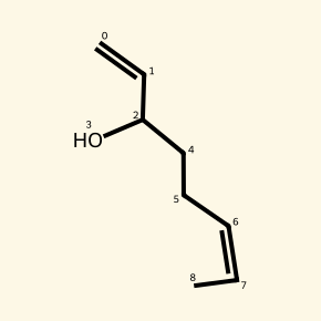 C=CC(O)CC/C=C\C